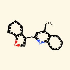 Cc1cc(-c2coc3ccccc23)nc2ccccc12